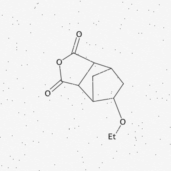 CCOC1CC2CC1C1C(=O)OC(=O)C21